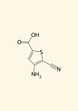 N#Cc1sc(C(=O)O)cc1N